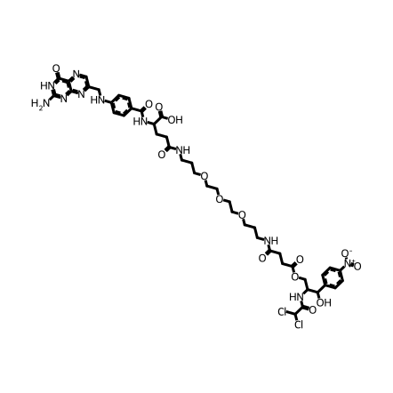 Nc1nc2nc(CNc3ccc(C(=O)NC(CCC(=O)NCCCOCCOCCOCCCNC(=O)CCC(=O)OCC(NC(=O)C(Cl)Cl)C(O)c4ccc([N+](=O)[O-])cc4)C(=O)O)cc3)cnc2c(=O)[nH]1